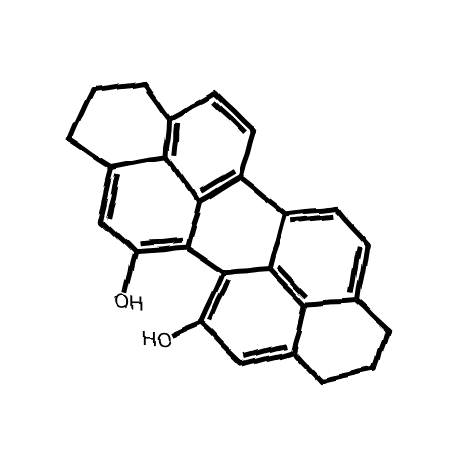 Oc1cc2c3c(ccc4c5ccc6c7c(cc(O)c(c1c34)c75)CCC6)CCC2